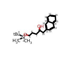 CC(C)(C)[Si](C)(C)OCCCC(O)Cc1ccc2ccccc2c1